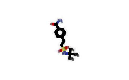 CC(C)(C)NS(=O)(=O)CCc1ccc(C(N)=O)cc1